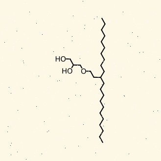 CCCCCCCCCCCC(CCCCCCCCCC)CCOCC(O)CO